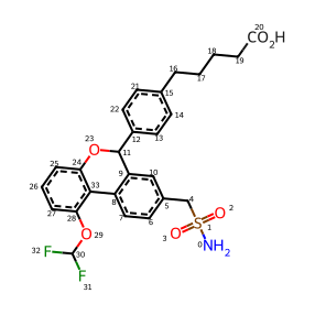 NS(=O)(=O)Cc1ccc2c(c1)C(c1ccc(CCCCC(=O)O)cc1)Oc1cccc(OC(F)F)c1-2